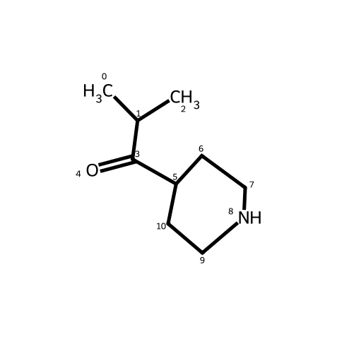 CC(C)C(=O)C1CCNCC1